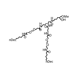 CCCCCCCCCCCCCCCC(=O)NCCOCCOCCC(=O)NCCCC[C@@H](CC(=O)NCCCCC(CO)COC)NC(=O)CCCNC(=O)CCOCCOCCNC(=O)CCCCCCCCCCCCCCC